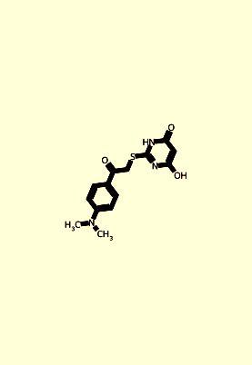 CN(C)c1ccc(C(=O)CSc2nc(O)cc(=O)[nH]2)cc1